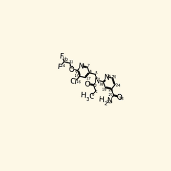 CCC(=O)N(Cc1cnc(OCC(F)F)c(Cl)c1)c1cc(C(N)=O)ccn1